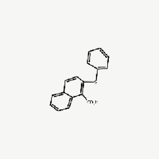 O=C(O)c1c(Sc2ccccc2)ccc2ccccc12